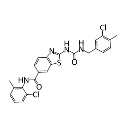 Cc1ccc(CNC(=O)Nc2nc3ccc(C(=O)Nc4c(C)cccc4Cl)cc3s2)cc1Cl